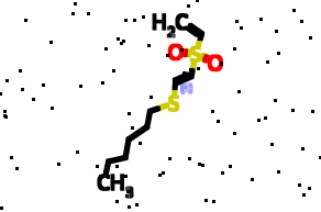 C=CS(=O)(=O)/C=C/SCCCCCC